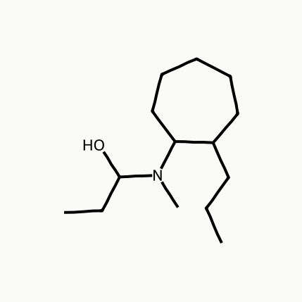 CCCC1CCCCCC1N(C)C(O)CC